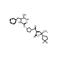 CC(C)(C=C(C#N)C(=O)N1CC[C@H](OC(=O)NC(Cc2ccccc2)B(O)O)C1)N1CCC(F)(F)C1